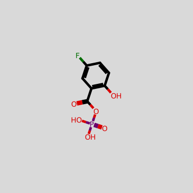 O=C(OP(=O)(O)O)c1cc(F)ccc1O